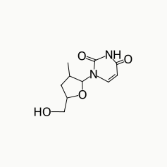 CC1CC(CO)OC1n1ccc(=O)[nH]c1=O